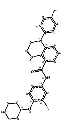 Cc1ccc(N2CCOc3c(C(=O)Nc4ccc(OC5CCNCC5)c(F)c4)cccc32)nc1